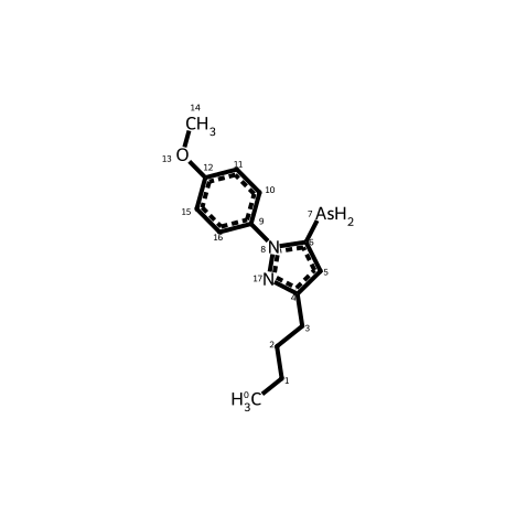 CCCCc1cc([AsH2])n(-c2ccc(OC)cc2)n1